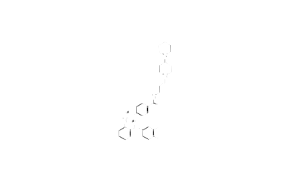 O=C(NCCCN1CCC(N2CCCCC2)CC1)c1ccc(S(=O)(=O)Nc2ccccc2Oc2ccc(Cl)c(Cl)c2)cc1